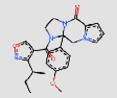 CCC(C)c1nocc1C(=O)N1CCN2C(=O)c3cccn3CC12c1ccc(OC)cc1